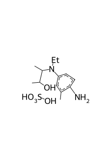 CCN(c1ccc(N)c(C)c1)C(C)C(C)O.O=S(=O)(O)O